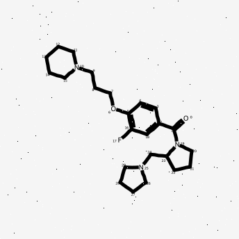 O=C(c1ccc(OCCCN2CCCCC2)c(F)c1)N1CCCC1CN1CCCC1